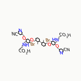 Cc1c(COc2cc(OCc3cncc(C#N)c3)c(CNCCCC(=O)O)cc2Br)cccc1-c1cccc(COc2cc(OCc3cncc(C#N)c3)c(CNCCCC(=O)O)cc2Br)c1C